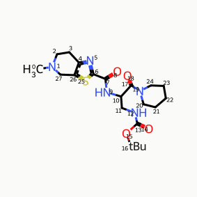 CN1CCc2nc(C(=O)NC(CNC(=O)OC(C)(C)C)C(=O)N3CCCCC3)sc2C1